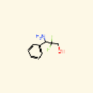 NC(c1ccccc1)C(F)(F)CO